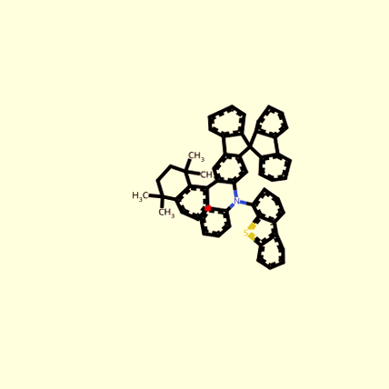 CC1(C)CCC(C)(C)c2c(-c3cc4c(cc3N(c3ccccc3)c3cccc5c3sc3ccccc35)C3(c5ccccc5-c5ccccc53)c3ccccc3-4)cccc21